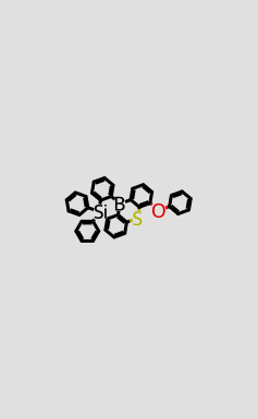 c1ccc(Oc2cccc3c2Sc2cccc4c2B3c2ccccc2[Si]4(c2ccccc2)c2ccccc2)cc1